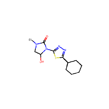 CCN1CC(O)N(c2nnc(C3CCCCC3)s2)C1=O